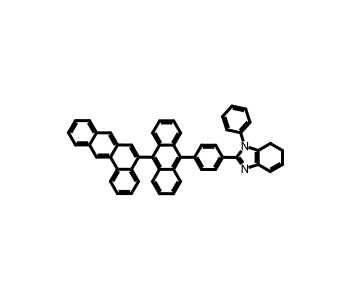 C1=Cc2nc(-c3ccc(-c4c5ccccc5c(-c5cc6cc7ccccc7cc6c6ccccc56)c5ccccc45)cc3)n(-c3ccccc3)c2CC1